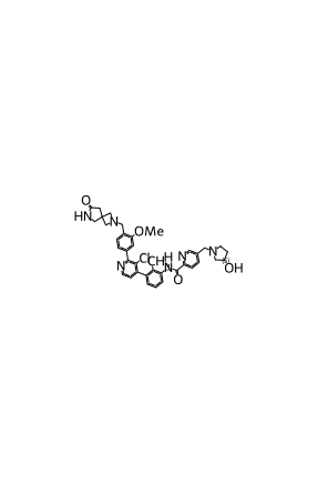 COc1cc(-c2nccc(-c3cccc(NC(=O)c4ccc(CN5CC[C@H](O)C5)cn4)c3C)c2Cl)ccc1CN1CC2(CNC(=O)C2)C1